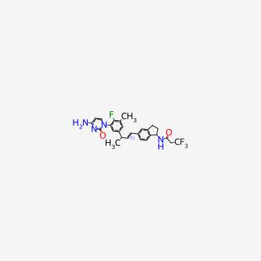 Cc1cc(C(C)/C=C/c2ccc3c(c2)CCC3NC(=O)CC(F)(F)F)cc(-n2ccc(N)nc2=O)c1F